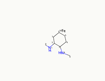 CNC1CCCCC1NC.[Fe]